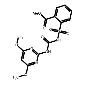 COC(=O)c1ccccc1S(=O)(=O)NC(=O)Nc1nc(OC(F)(F)F)cc(OC(F)(F)F)n1